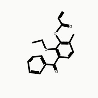 C=CC(=O)Oc1c(C)ccc(C(=O)c2ccccc2)c1OCC